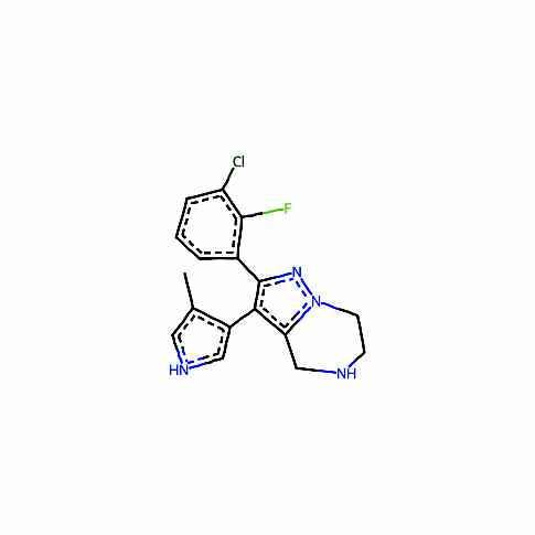 Cc1c[nH]cc1-c1c(-c2cccc(Cl)c2F)nn2c1CNCC2